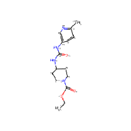 CCOC(=O)N1CCC(NC(=O)Nc2ccc(C)nc2)CC1